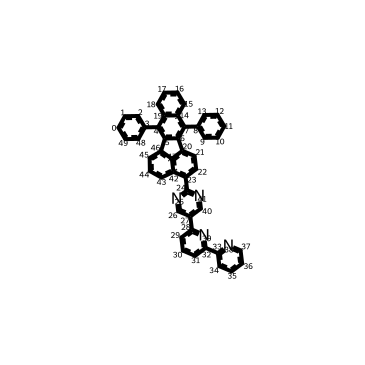 c1ccc(-c2c3c(c(-c4ccccc4)c4ccccc24)-c2ccc(-c4ncc(-c5cccc(-c6ccccn6)n5)cn4)c4cccc-3c24)cc1